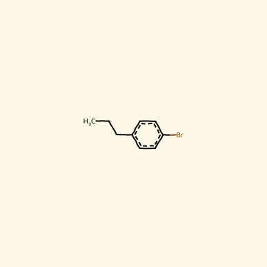 C[CH]Cc1ccc(Br)cc1